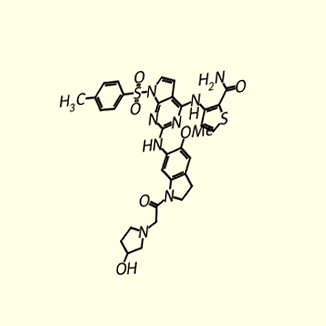 COc1cc2c(cc1Nc1nc(Nc3ccsc3C(N)=O)c3ccn(S(=O)(=O)c4ccc(C)cc4)c3n1)N(C(=O)CN1CCC(O)C1)CC2